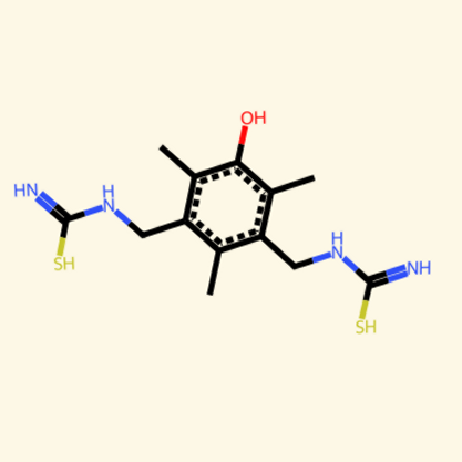 Cc1c(O)c(C)c(CNC(=N)S)c(C)c1CNC(=N)S